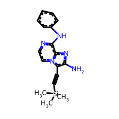 C[Si](C)(C)C#Cc1c(N)nc2c(Nc3ccccc3)nccn12